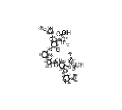 C/N=C/c1cncc(COc2cc(OCc3cccc(-c4cccc(COc5cc(OCc6cncc(C7=NC7)c6)c(CN6C[C@@H](C)C[C@H]6C(=O)O)cc5Cl)c4C)c3C)c(Cl)cc2CN2C[C@@H](C)C[C@H]2C(=O)O)c1